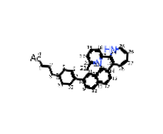 CC(=O)CCC[C@H]1CC=C(c2ccc3ccc(C4=C(c5cccc(C)n5)NC=CC=C4)cc3c2)CC1